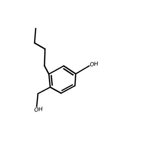 CCCCc1cc(O)ccc1CO